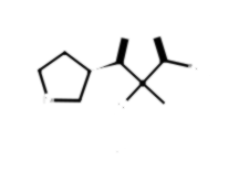 CC(N)(C(N)=O)C(=O)[C@@H]1CCNC1.Cl.Cl